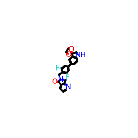 O=C1c2cccnc2CN1Cc1c(F)cc(-c2ccc3c(c2)C2(CN3)OCCO2)cc1F